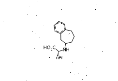 CCC[C@H](NC1CCCc2ccccc2C1)C(=O)O